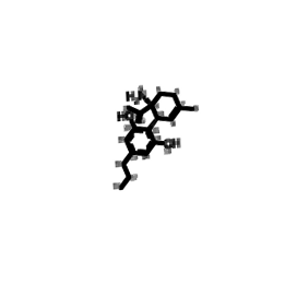 C=C(C)[C@]1(N)CCC(C)=C[C@H]1c1c(O)cc(CCC)cc1O